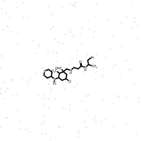 CCN(C1CCSCC1)C1CC(Cl)CC(C=O)(CNCCC(=O)NC(C)CC(C)C)C1C